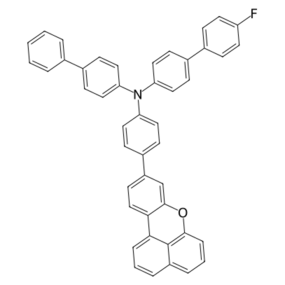 Fc1ccc(-c2ccc(N(c3ccc(-c4ccccc4)cc3)c3ccc(-c4ccc5c(c4)Oc4cccc6cccc-5c46)cc3)cc2)cc1